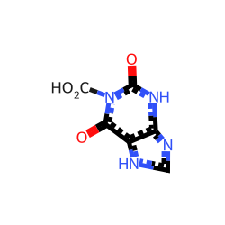 O=C(O)n1c(=O)[nH]c2nc[nH]c2c1=O